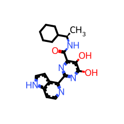 C[C@@H](NC(=O)c1nc(-c2nccc3[nH]ccc23)nc(O)c1O)C1CCCCC1